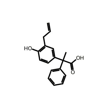 C=CCc1cc(C(C)(C(=O)O)c2ccccc2)ccc1O